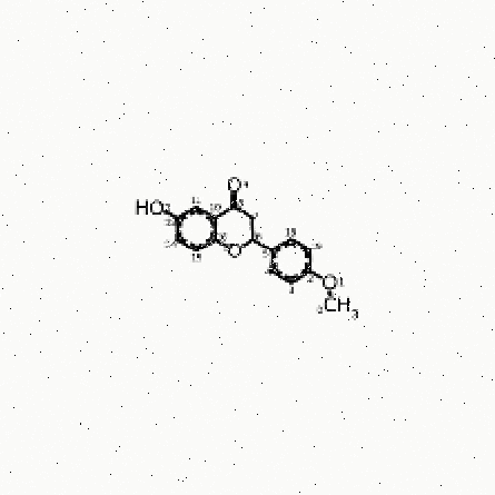 COc1ccc(C2CC(=O)c3cc(O)ccc3O2)cc1